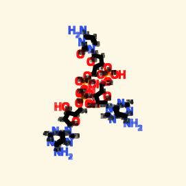 Nc1ccn(C2CC(OP(=O)(O)OCC3OC(n4cnc5c(N)ncnc54)CC3OP(=O)(O)OCC3OC(n4cnc5c(N)ncnc54)CC3O)C(COP(=O)(O)O)O2)c(=O)n1